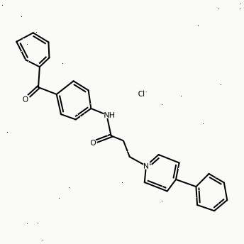 O=C(CC[n+]1ccc(-c2ccccc2)cc1)Nc1ccc(C(=O)c2ccccc2)cc1.[Cl-]